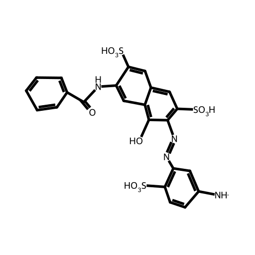 [NH]c1ccc(S(=O)(=O)O)c(N=Nc2c(S(=O)(=O)O)cc3cc(S(=O)(=O)O)c(NC(=O)c4ccccc4)cc3c2O)c1